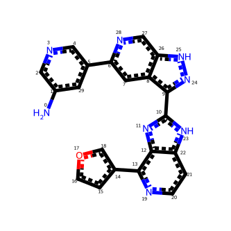 Nc1cncc(-c2cc3c(-c4nc5c(-c6ccoc6)nccc5[nH]4)n[nH]c3cn2)c1